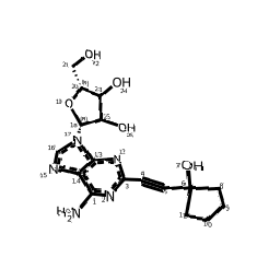 Nc1nc(C#CC2(O)CCCC2)nc2c1ncn2[C@@H]1O[C@H](CO)C(O)C1O